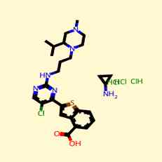 CC(C)C1CN(C)CCN1CCCNc1ncc(Cl)c(-c2cc3c(C(=O)O)cccc3s2)n1.Cl.Cl.Cl.NC1CC1